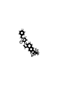 O=C1C(N2CCC3c4ccc(C(F)(C(F)(F)F)C(F)(F)F)cc4CCC32)CCN1Cc1ccccc1